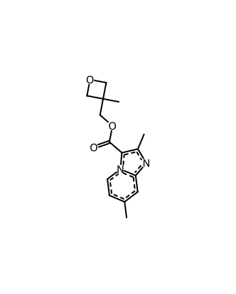 Cc1ccn2c(C(=O)OCC3(C)COC3)c(C)nc2c1